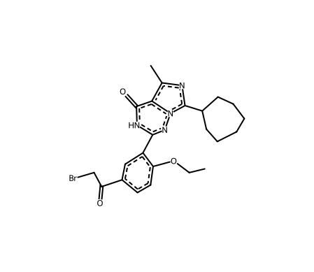 CCOc1ccc(C(=O)CBr)cc1-c1nn2c(C3CCCCCC3)nc(C)c2c(=O)[nH]1